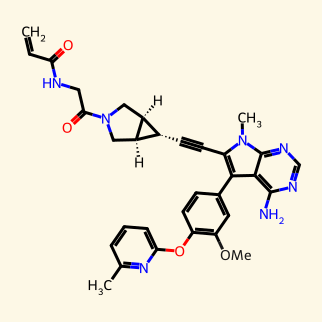 C=CC(=O)NCC(=O)N1C[C@@H]2[C@@H](C#Cc3c(-c4ccc(Oc5cccc(C)n5)c(OC)c4)c4c(N)ncnc4n3C)[C@@H]2C1